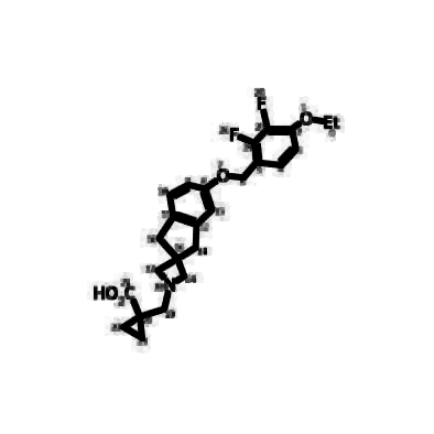 CCOc1ccc(COc2ccc3c(c2)CC2(C3)CN(CC3(C(=O)O)CC3)C2)c(F)c1F